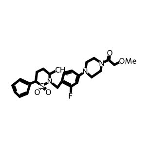 COCC(=O)N1CCN(c2ccc(CN3C(C)CCC(c4ccccc4)S3(=O)=O)c(F)c2)CC1